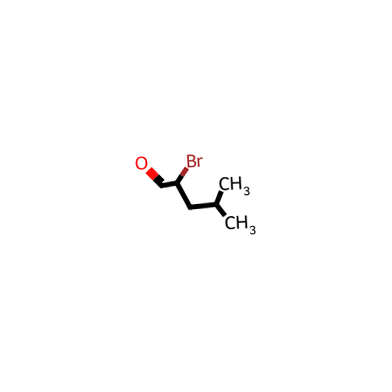 CC(C)CC(Br)C=O